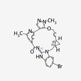 Cc1cc2cc(n1)-c1cnn(C)c1OCC[C@H]1C[C@@H]1CN1/C(=N/C2=O)Nc2ccc(Br)cc21